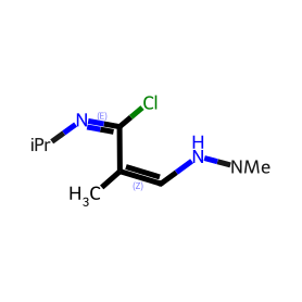 CNN/C=C(C)\C(Cl)=N/C(C)C